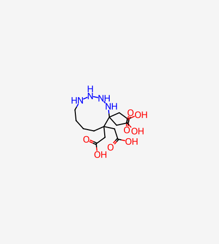 O=C(O)CC1(CC(=O)O)CCCCNNNNC1(CC(=O)O)CC(=O)O